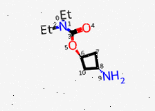 CCN(CC)C(=O)O[C@H]1C[C@H](N)C1